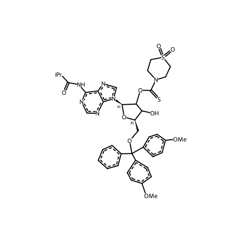 COc1ccc(C(OC[C@H]2O[C@@H](n3cnc4c(NC(=O)C(C)C)ncnc43)C(OC(=S)N3CCS(=O)(=O)CC3)C2O)(c2ccccc2)c2ccc(OC)cc2)cc1